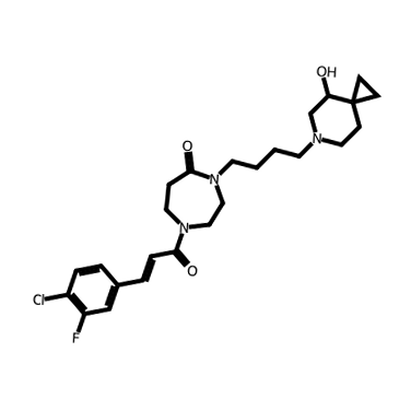 O=C(/C=C/c1ccc(Cl)c(F)c1)N1CCC(=O)N(CCCCN2CCC3(CC3)C(O)C2)CC1